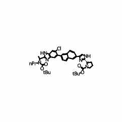 CCCN(C(=O)OC(C)(C)C)C(C)c1nc2cc(-c3ccc4cc(-c5c[nH]c([C@@H]6CCCN6C(=O)OC(C)(C)C)n5)ccc4c3)c(Cl)cc2[nH]1